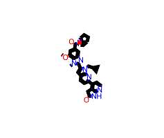 COc1cc(C(=O)N2CC3CCC2[C@@H]3C)cc2nc(-c3cc4ccc(-c5ccnc6c5CC(=O)N6)nc4n3CC3CC3)n(C)c12